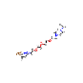 CC(C)N1CCN(CCOCCOCCOCCNC[C@H](C)S)CC1